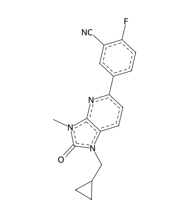 Cn1c(=O)n(CC2CC2)c2ccc(-c3ccc(F)c(C#N)c3)nc21